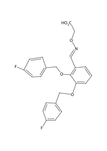 O=C(O)CO/N=C/c1cccc(OCc2ccc(F)cc2)c1OCc1ccc(F)cc1